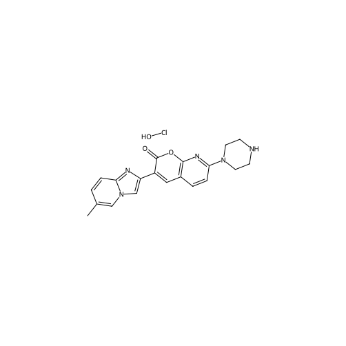 Cc1ccc2nc(-c3cc4ccc(N5CCNCC5)nc4oc3=O)cn2c1.OCl